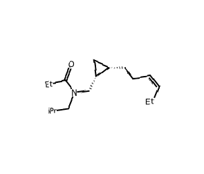 CC/C=C\CC[C@H]1C[C@H]1CN(CC(C)C)C(=O)CC